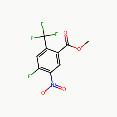 COC(=O)c1cc([N+](=O)[O-])c(F)cc1C(F)(F)F